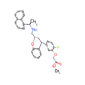 COC(=O)COc1cc(C2CC(CN[C@H](C)c3cccc4ccccc34)Oc3ccccc32)ccc1F